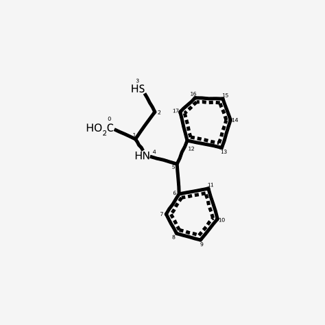 O=C(O)C(CS)NC(c1ccccc1)c1ccccc1